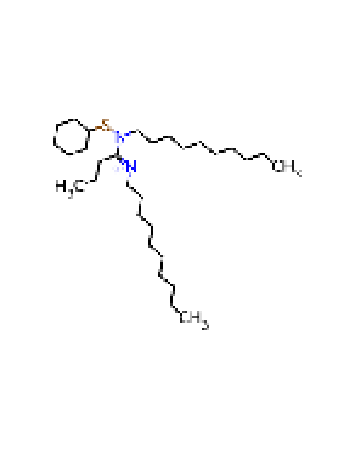 CCCCCCCCCC/N=C(\CCC)N(CCCCCCCCCC)SC1CCCCC1